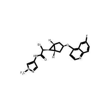 CCC(C(=O)Nc1cnn(C(F)(F)F)c1)[C@H]1[C@@H]2C[C@@H](Oc3ccnc4ccc(F)cc34)C[C@@H]21